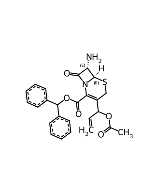 C=CC(OC(C)=O)C1=C(C(=O)OC(c2ccccc2)c2ccccc2)N2C(=O)[C@H](N)[C@H]2SC1